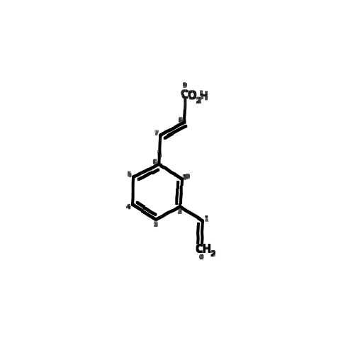 C=Cc1cccc(C=CC(=O)O)c1